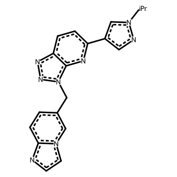 CC(C)n1cc(-c2ccc3nnn(Cc4ccc5nccn5c4)c3n2)cn1